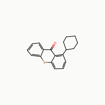 O=c1c2ccccc2sc2cccc(C3CCCCC3)c12